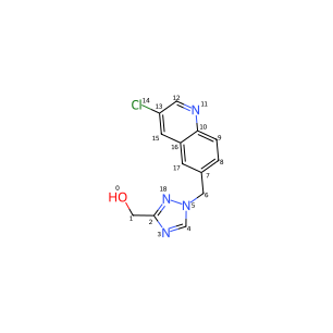 OCc1ncn(Cc2ccc3ncc(Cl)cc3c2)n1